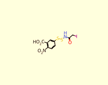 O=C(CI)NSSc1ccc([N+](=O)[O-])c(C(=O)O)c1